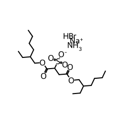 Br.CCCCC(CC)COC(=O)CC(C(=O)OCC(CC)CCCC)S(=O)(=O)[O-].N.[Na+]